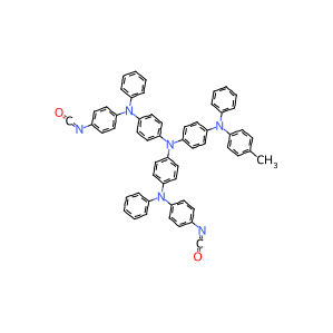 Cc1ccc(N(c2ccccc2)c2ccc(N(c3ccc(N(c4ccccc4)c4ccc(N=C=O)cc4)cc3)c3ccc(N(c4ccccc4)c4ccc(N=C=O)cc4)cc3)cc2)cc1